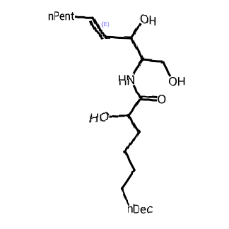 CCCCC/C=C/C(O)C(CO)NC(=O)C(O)CCCCCCCCCCCCCC